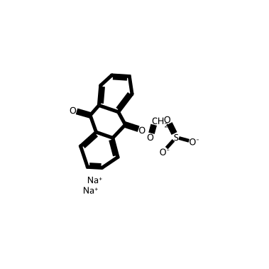 C=O.O=C1c2ccccc2C(=O)c2ccccc21.O=S([O-])[O-].[Na+].[Na+]